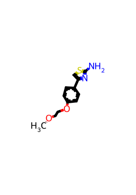 COCCOc1ccc(-c2csc(N)n2)cc1